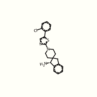 N[C@@H]1c2ccccc2CC12CCN(c1ncc(-c3ccccc3Cl)s1)CC2